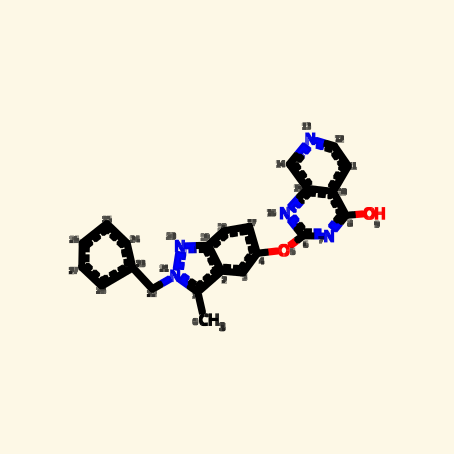 Cc1c2cc(Oc3nc(O)c4ccncc4n3)ccc2nn1Cc1ccccc1